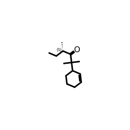 CC[C@H](C)C(=O)C(C)(C)C1C=CCCC1